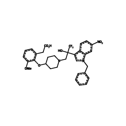 COc1cccc(CC(=O)O)c1OC1CCN(CC(O)(c2cn(Cc3ccccc3)c3cc([N+](=O)[O-])ccc23)C(F)(F)F)CC1